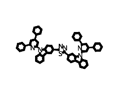 c1ccc(-c2cc(-c3ccccc3)nc(-n3c4ccccc4c4cc(-c5nnc(-c6ccc7c8ccccc8n(-c8cc(-c9ccccc9)cc(-c9ccccc9)n8)c7c6)s5)ccc43)c2)cc1